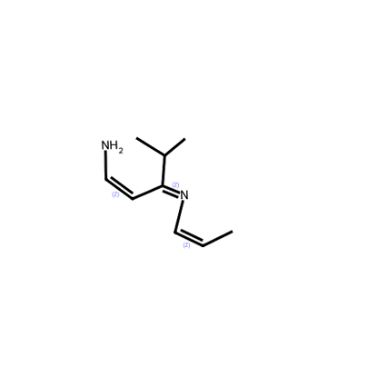 C\C=C/N=C(\C=C/N)C(C)C